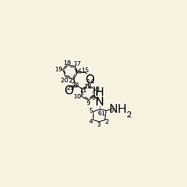 NC1CCCC[C@@H]1Nc1ccc2c(c1)OCc1ccccc1C2=O